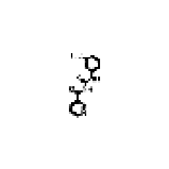 O=C(NC(=S)Nc1cccc(C(F)(F)F)c1)c1cccnc1